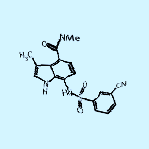 CNC(=O)c1ccc(NS(=O)(=O)c2cccc(C#N)c2)c2[nH]cc(C)c12